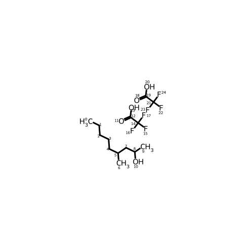 CCCCCC(C)CC(C)O.O=C(O)C(F)(F)F.O=C(O)C(F)(F)F